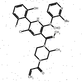 C=CC(=O)N1CCN(/C(=N/C)C2=C(N(C=O)c3cccnc3C(C)(C)C)NC(c3c(O)cccc3F)C(Cl)=C2)C(C)C1